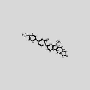 Cc1ccc(-c2ccn(-c3ccc4c5c(n(C)c4n3)CC3CCCN3C5)c(=O)c2)cc1